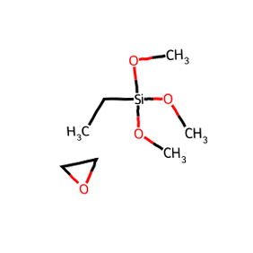 C1CO1.CC[Si](OC)(OC)OC